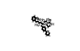 CC(C)(C)C(C(=O)NN(Cc1ccc(-c2ccccn2)cc1)CC(O)C(Cc1ccccc1)NO)N1CCCNC1=O